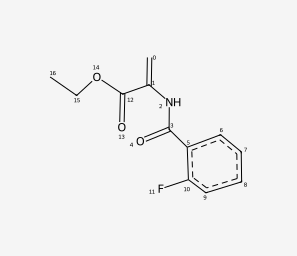 C=C(NC(=O)c1ccccc1F)C(=O)OCC